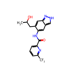 CC(O)Cc1cc2n[nH]cc2cc1NC(=O)c1cccc(C(F)(F)F)n1